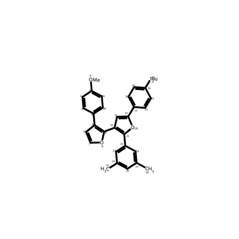 COc1ccc(-c2ccoc2-c2cc(-c3ccc(C(C)(C)C)cc3)oc2-c2cc(C)cc(C)c2)cc1